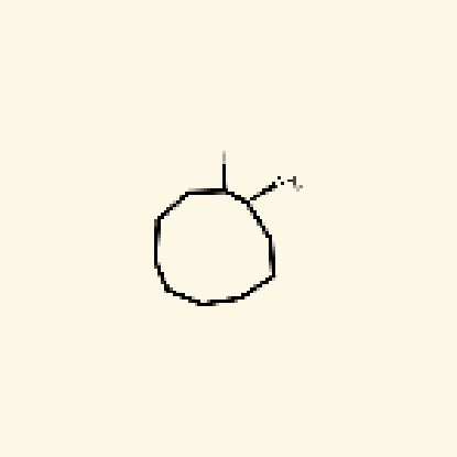 N[C@H]1CCCCCCCCC1I